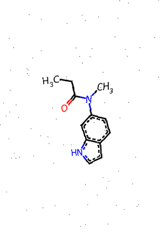 CCC(=O)N(C)c1ccc2cc[nH]c2c1